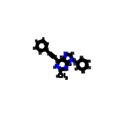 Cc1nc(C#Cc2ccccc2)c2ncn(-c3ccccc3)c2n1